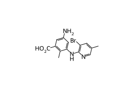 Cc1cnc(Nc2cc(N)cc(C(=O)O)c2C)c(Br)c1